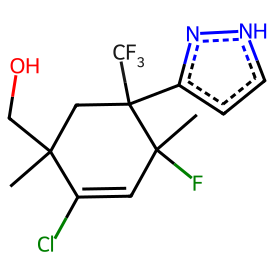 CC1(CO)CC(c2cc[nH]n2)(C(F)(F)F)C(C)(F)C=C1Cl